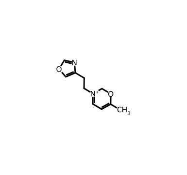 CC1=CC=[N+](CCc2cocn2)CO1